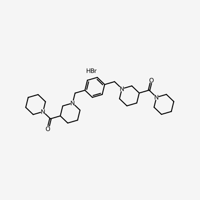 Br.O=C(C1CCCN(Cc2ccc(CN3CCCC(C(=O)N4CCCCC4)C3)cc2)C1)N1CCCCC1